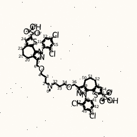 CN(CCCOCc1nn(-c2ccc(Cl)cc2Cl)c2c1CCCc1cc(S(=O)(=O)O)sc1-2)CCCOCc1nn(-c2ccc(Cl)cc2Cl)c2c1CCCc1cc(S(=O)(=O)O)sc1-2